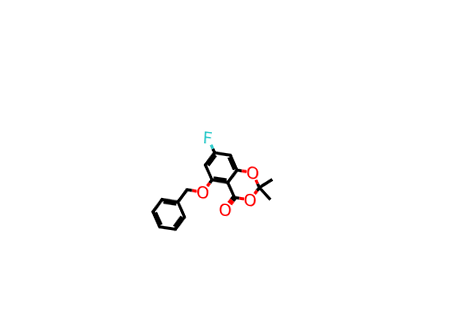 CC1(C)OC(=O)c2c(OCc3ccccc3)cc(F)cc2O1